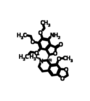 CCOc1c(N)c2c(c(OCC)c1OCC)C([C@@H]1c3c(cc4c(c3OC)OCO4)CCN1C)OC2=O